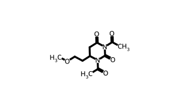 COCCC1CC(=O)N(C(C)=O)C(=O)N1C(C)=O